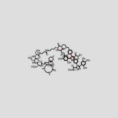 CCNC(=O)c1nnc(-c2cc(C(C)C)c(O)cc2O)n1-c1ccc(CN2CCN(C(=O)CCC(=O)N[C@@H](CCCCNC(=O)CCNC(=O)[C@H](CO)NC(=O)[C@H](CO)NC(=O)[C@H](CO)NC(=O)CC[C@H](C(=O)O)N(CC)CCN(C)CC(=O)ON3OC(=O)CN(C)CCN(C)CC(=O)O3)C(=O)N3CCN(Cc4ccc(-n5c(C(=O)NCC)nnc5-c5cc(C(C)C)c(O)cc5O)cc4)CC3)CC2)cc1